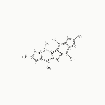 Cc1nc2c(C)c3c(sc4c(C)c5oc(C)nc5c(C)c43)c(C)c2o1